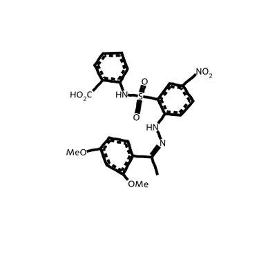 COc1ccc(/C(C)=N\Nc2ccc([N+](=O)[O-])cc2S(=O)(=O)Nc2ccccc2C(=O)O)c(OC)c1